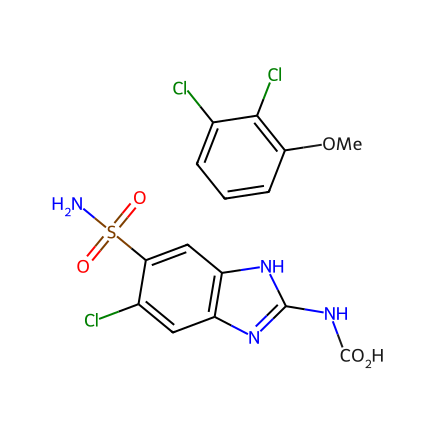 COc1cccc(Cl)c1Cl.NS(=O)(=O)c1cc2[nH]c(NC(=O)O)nc2cc1Cl